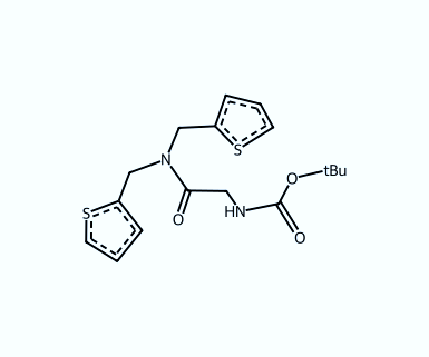 CC(C)(C)OC(=O)NCC(=O)N(Cc1cccs1)Cc1cccs1